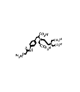 NOCC(=O)Nc1ccc(CC(C(=O)O)N(CCN(CC(=O)O)CC(=O)O)CC(=O)O)cc1